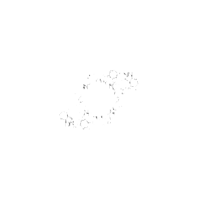 CC(C)C[C@H]1CO[C@H](C)CN(C)[C@@H](CC(C)C)CO[C@H](Cc2ccc(Cn3cc4ccccc4n3)cc2)CN(C)[C@@H](CC(C)C)CO[C@H](C)CN(C)[C@@H](CC(C)C)CO[C@H](Cc2ccc(Cn3cc4ccccc4n3)cc2)CN1C